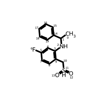 CC(Nc1cc(F)ccc1C[SH](=O)=O)c1ccccc1